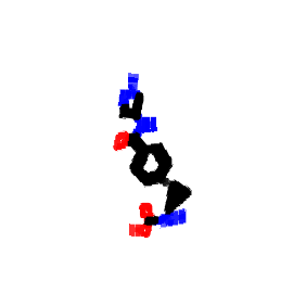 O=C(O)N[C@@H]1C[C@H]1c1ccc(C(=O)Nc2cn[nH]c2)cc1